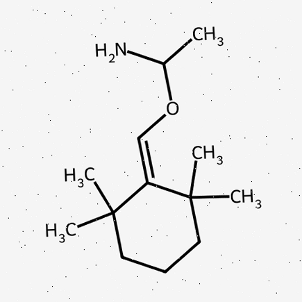 CC(N)OC=C1C(C)(C)CCCC1(C)C